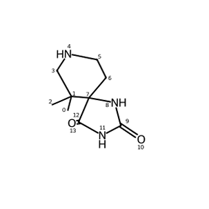 CC1(C)CNCCC12NC(=O)NC2=O